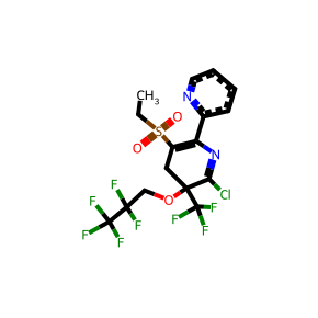 CCS(=O)(=O)C1=C(c2ccccn2)N=C(Cl)C(OCC(F)(F)C(F)(F)F)(C(F)(F)F)C1